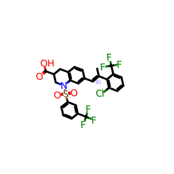 C/C(=C\c1ccc2c(c1)N(S(=O)(=O)c1cccc(C(F)(F)F)c1)CC(C(=O)O)C2)c1c(Cl)cccc1C(F)(F)F